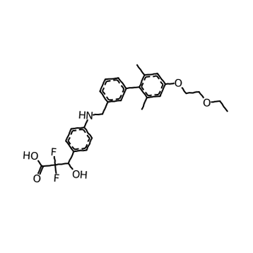 CCOCCOc1cc(C)c(-c2cccc(CNc3ccc(C(O)C(F)(F)C(=O)O)cc3)c2)c(C)c1